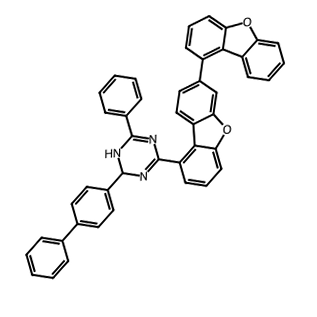 c1ccc(C2=NC(c3cccc4oc5cc(-c6cccc7oc8ccccc8c67)ccc5c34)=NC(c3ccc(-c4ccccc4)cc3)N2)cc1